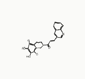 O=C(C=Cc1cnc2ccccc2c1)N1CCc2c(Cl)c(O)c(O)c(Cl)c2C1